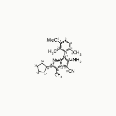 COc1ccc(C)c(-n2c(N)c(C#N)c3c(C(F)(F)F)n(C4CCCC4)nc32)c1C